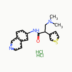 CN(C)CC(C(=O)Nc1ccc2cnccc2c1)c1ccsc1.Cl.Cl